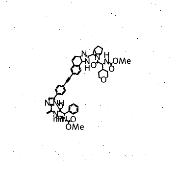 C=C(c1ncc(-c2ccc(C#Cc3ccc4c(c3)C=CC3N=C(C5C6CCC(C6)N5C(=O)[C@@H](NC(=O)OC)C5CCOCC5)NC43)cc2)[nH]1)N(CCC)C(=O)[C@H](NC(=O)OC)c1ccccc1